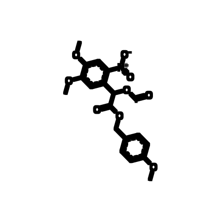 COc1ccc(COC(=O)C(O[C]=O)c2cc(OC)c(OC)cc2[N+](=O)[O-])cc1